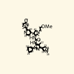 COCCN1C[C@@H](NC(=O)Nc2c(C)c(-c3cnn(C)c3)nn2-c2ccccc2)[C@H](c2ccnc(C3=NC(=O)CS3)c2)C1